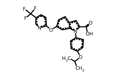 CC(C)Oc1ccc(-n2c(C(=O)O)cc3ccc(Oc4ccc(C(F)(F)F)cn4)cc32)cc1